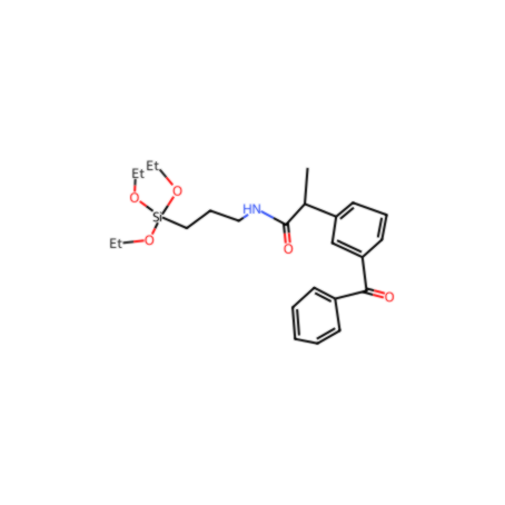 CCO[Si](CCCNC(=O)C(C)c1cccc(C(=O)c2ccccc2)c1)(OCC)OCC